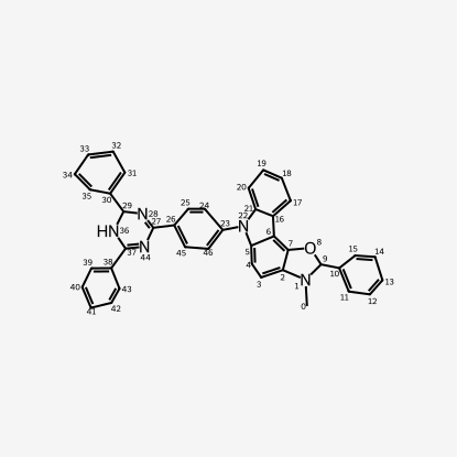 CN1c2ccc3c(c2OC1c1ccccc1)c1ccccc1n3-c1ccc(C2=NC(c3ccccc3)NC(c3ccccc3)=N2)cc1